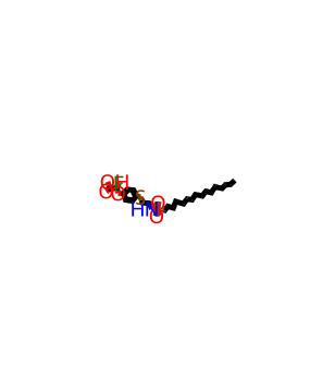 CCCCCCCCCCCCCCCCS(=O)(=O)NCCSc1ccc(OC(F)C(=O)O)cc1